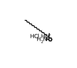 CCCCCCCCCCCCCCCCCCNC(CC)c1ccccc1C(C)(C)N.Cl